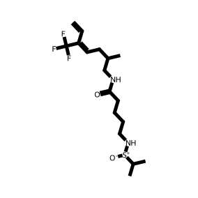 C=C/C(=C\CC(C)CNC(=O)CCCCN[S+]([O-])C(C)C)C(F)(F)F